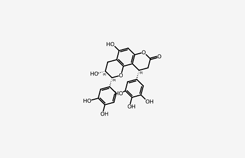 O=C1C[C@H](c2cc(O)c(O)c(O)c2)c2c(cc(O)c3c2O[C@H](c2ccc(O)c(O)c2)[C@H](O)C3)O1